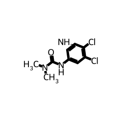 CN(C)C(=O)Nc1ccc(Cl)c(Cl)c1.N